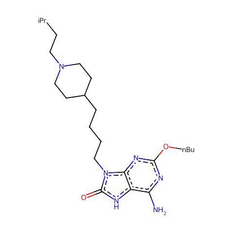 CCCCOc1nc(N)c2[nH]c(=O)n(CCCCC3CCN(CCC(C)C)CC3)c2n1